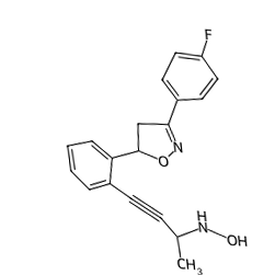 CC(C#Cc1ccccc1C1CC(c2ccc(F)cc2)=NO1)NO